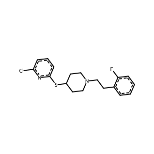 Fc1ccccc1CCN1CCC(Sc2cccc(Cl)n2)CC1